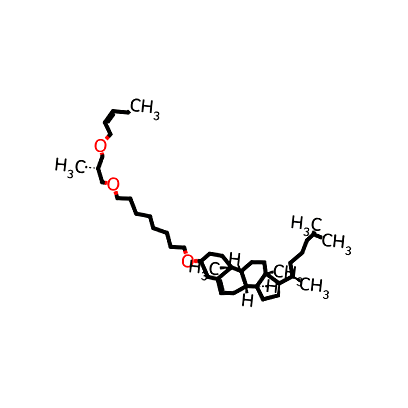 CC/C=C\COC[C@@H](C)COCCCCCCCCOC1CC[C@@]2(C)C(=CC[C@H]3[C@@H]4CC[C@H]([C@H](C)CCCC(C)C)[C@@]4(C)CC[C@@H]32)C1